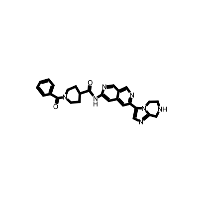 O=C(Nc1cc2cc(-c3cnc4n3CCNC4)ncc2cn1)C1CCN(C(=O)c2ccccc2)CC1